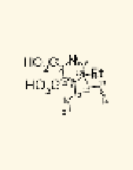 C=CCC1=C(C(=O)O)C(C(=O)O)N=CC1(CC)CC=C